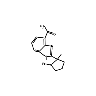 CC(C)N1CCCC1(C)c1nc2c(C(N)=O)cccc2[nH]1